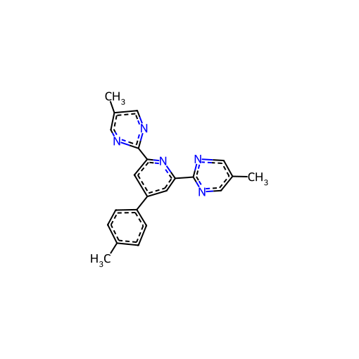 Cc1ccc(-c2cc(-c3ncc(C)cn3)nc(-c3ncc(C)cn3)c2)cc1